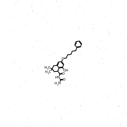 CC1(C)Cc2cc(OCCCCCc3ccccc3)cc(O)c2C(C(=O)NC(N)=O)C1